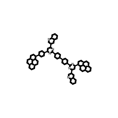 c1ccc2ncc(-c3cc(-c4ccc(-c5ccc6ccc7cccc8ccc5c6c78)cc4)nc(-c4ccc(-c5ccc(-c6nc(-c7cnc8ccccc8c7)cc(-c7ccc8ccc9cccc%10ccc7c8c9%10)n6)cc5)cc4)n3)cc2c1